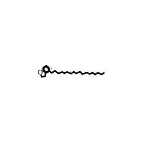 CCCCCCCCCCCCCCCCCCc1[c]ccc2c1CCO2